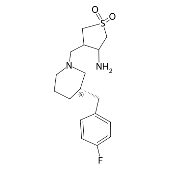 NC1CS(=O)(=O)CC1CN1CCC[C@@H](Cc2ccc(F)cc2)C1